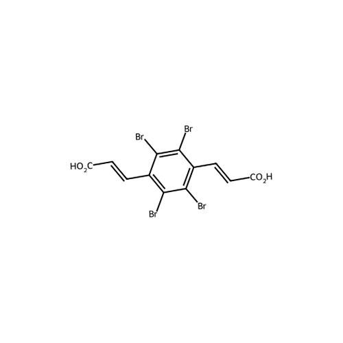 O=C(O)C=Cc1c(Br)c(Br)c(C=CC(=O)O)c(Br)c1Br